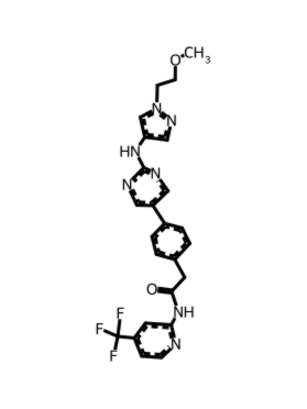 COCCn1cc(Nc2ncc(-c3ccc(CC(=O)Nc4cc(C(F)(F)F)ccn4)cc3)cn2)cn1